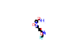 NC(=O)[C@H]1CCN(C(=O)N2CC(C34CC(c5nnc(CC(F)(F)F)o5)(C3)C4)C2)C1